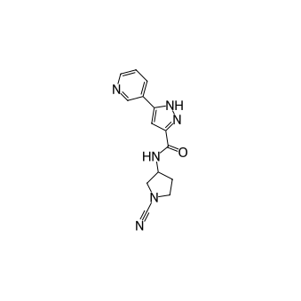 N#CN1CCC(NC(=O)c2cc(-c3cccnc3)[nH]n2)C1